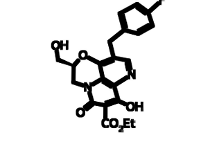 CCOC(=O)c1c(O)c2ncc(Cc3ccc(F)cc3)c3c2n(c1=O)C[C@@H](CO)O3